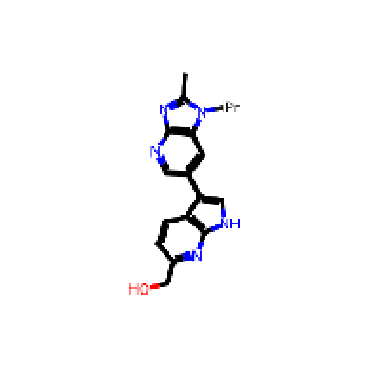 Cc1nc2ncc(-c3c[nH]c4nc(CO)ccc34)cc2n1C(C)C